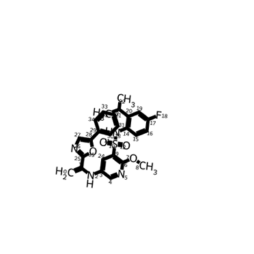 C=C(Nc1cnc(OC)c(S(=O)(=O)Nc2ccc(F)cc2C(C)C)c1)c1ncc(-c2ccccc2)o1